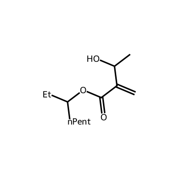 C=C(C(=O)OC(CC)CCCCC)C(C)O